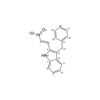 O=[N+]([O-])C=Cc1[nH]c2ccccc2c1Cc1ccccc1